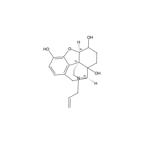 C=CCN1CC[C@]23c4c5ccc(O)c4O[C@H]2C(O)CCC3(O)[C@H]1C5